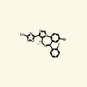 CCc1noc(-c2ncn3c2[C@@H](C)N=C(c2ccccc2F)c2cc(Br)ccc2-3)n1